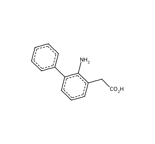 Nc1c(CC(=O)O)cccc1-c1ccccc1